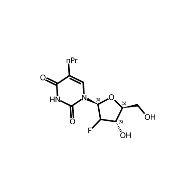 CCCc1cn([C@H]2O[C@@H](CO)[C@H](O)C2F)c(=O)[nH]c1=O